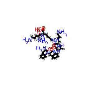 CC(C)C[C@@H](NC(=O)[C@@H](Cc1ccccc1)N1C(=O)[C@H](N)Cc2ccccc21)C(=O)N[C@H](CCCCN)C(=O)NCCCC[C@@H](NC(=O)[C@H](N)CCCN)C(=O)O